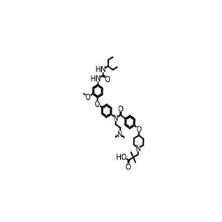 CCC(CC)NC(=O)Nc1ccc(Oc2ccc(N(CCN(C)C)C(=O)c3ccc(OC4CCN(CC(C)(C)C(=O)O)CC4)cc3)cc2)c(OC)c1